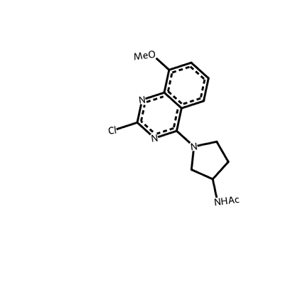 COc1cccc2c(N3CCC(NC(C)=O)C3)nc(Cl)nc12